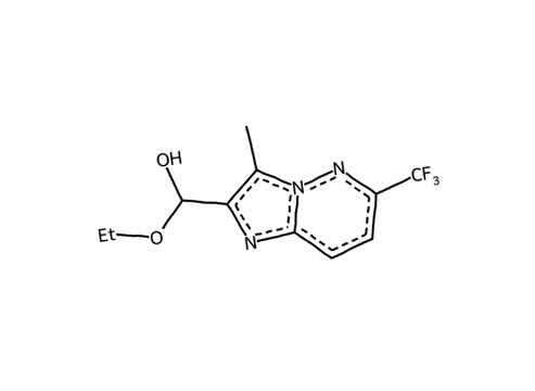 CCOC(O)c1nc2ccc(C(F)(F)F)nn2c1C